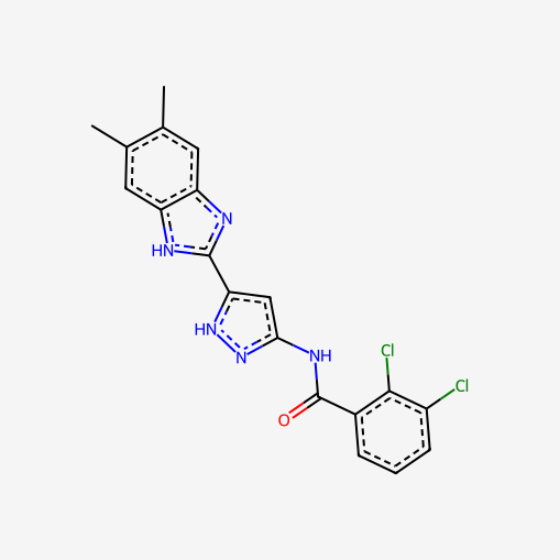 Cc1cc2nc(-c3cc(NC(=O)c4cccc(Cl)c4Cl)n[nH]3)[nH]c2cc1C